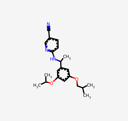 CC(C)COc1cc(OC(C)C)cc(C(C)Nc2ccc(C#N)cn2)c1